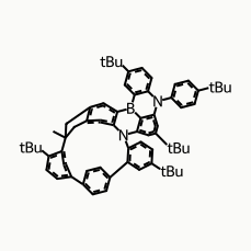 CC(C)(C)c1ccc(N2c3ccc(C(C)(C)C)cc3B3c4cc5c6cc4N(c4ccc(C(C)(C)C)cc4-c4ccc(cc4)-c4ccc(C(C)(C)C)c(c4)C(C)(C5)C6)c4cc(C(C)(C)C)cc2c43)cc1